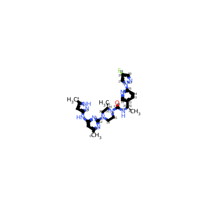 Cc1cc(Nc2cc(C)[nH]n2)nc(N2CCN(C(=O)N[C@@H](C)c3ccc(-n4cc(F)cn4)nc3)[C@@H](C)C2)n1